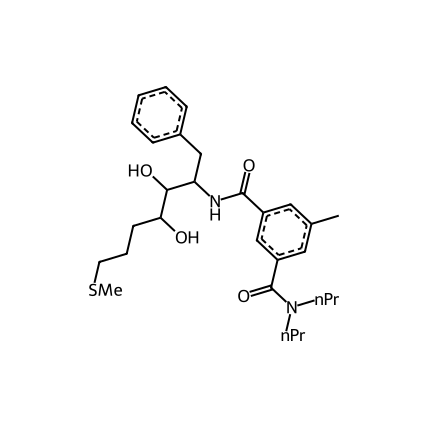 CCCN(CCC)C(=O)c1cc(C)cc(C(=O)NC(Cc2ccccc2)C(O)C(O)CCCSC)c1